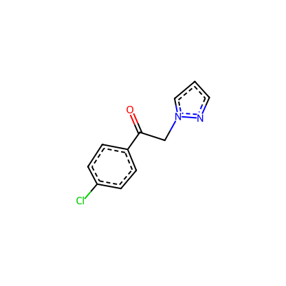 O=C(Cn1cccn1)c1ccc(Cl)cc1